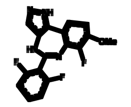 COc1ccc2c(c1F)N=C(c1c(F)cccc1F)Nc1cn[nH]c1-2